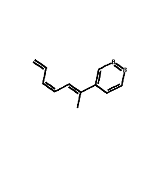 C=C/C=C\C=C(/C)c1cbbcc1